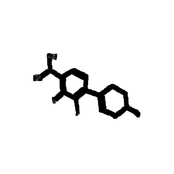 CC1CC=C(c2ccc(B(O)O)c(F)c2F)CC1